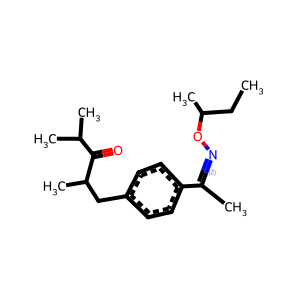 CCC(C)O/N=C(/C)c1ccc(CC(C)C(=O)C(C)C)cc1